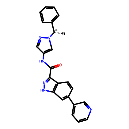 CC[C@@H](c1ccccc1)n1cc(NC(=O)c2n[nH]c3cc(-c4cccnc4)ccc23)cn1